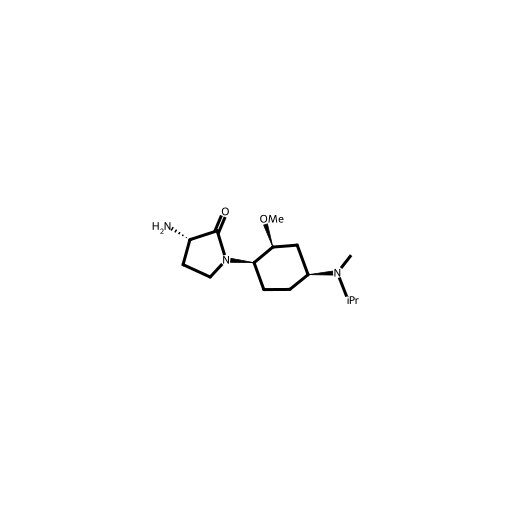 CO[C@H]1C[C@@H](N(C)C(C)C)CC[C@H]1N1CC[C@H](N)C1=O